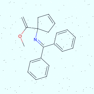 C=C(OC)C1(N=C(c2ccccc2)c2ccccc2)CC=CC1